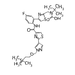 CC(C)(C)N(Cc1nc(-c2cc(F)ccc2NC(=O)c2csc(-c3cnn(COCC[Si](C)(C)C)c3)n2)cs1)C(=O)O